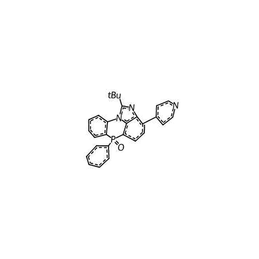 CC(C)(C)c1nc2c(-c3ccncc3)ccc3c2n1-c1ccccc1P3(=O)c1ccccc1